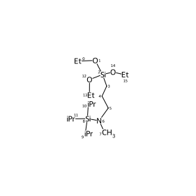 CCO[Si](CCCN(C)[Si](C(C)C)(C(C)C)C(C)C)(OCC)OCC